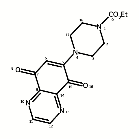 CCOC(=O)N1CCN(C2=CC(=O)c3nccnc3C2=O)CC1